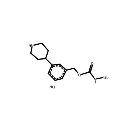 CC(C)(C)NC(=O)OCc1cccc(C2CCNCC2)c1.Cl